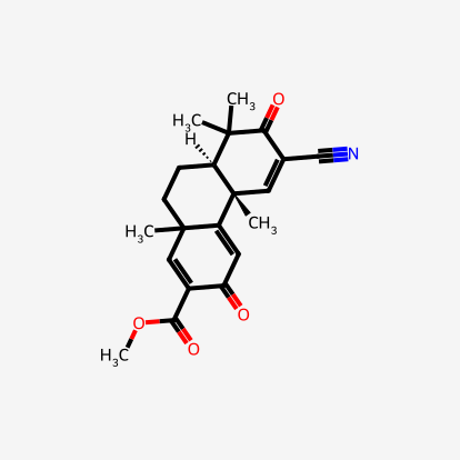 COC(=O)C1=CC2(C)CC[C@H]3C(C)(C)C(=O)C(C#N)=C[C@]3(C)C2=CC1=O